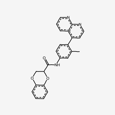 Cc1cc(NC(=O)C2COc3ccccc3O2)ccc1-c1ccnc2ncccc12